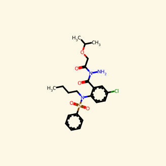 CCCCN(c1ccc(Cl)cc1C(=O)N(N)C(=O)COC(C)C)S(=O)(=O)c1ccccc1